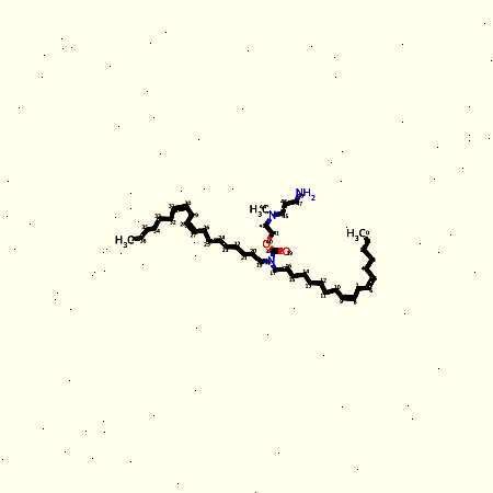 CCCCC/C=C\C/C=C\CCCCCCCCN(CCCCCCCC/C=C\C/C=C\CCCCCC)C(=O)OCCN(C)CCCN